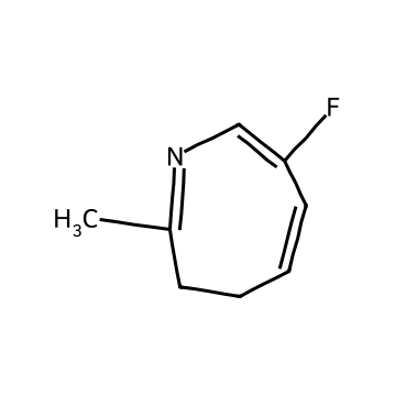 C/C1=N/C=C(F)\C=C/CC1